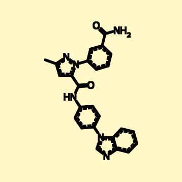 Cc1cc(C(=O)Nc2ccc(-n3cnc4ccccc43)cc2)n(-c2cccc(C(N)=O)c2)n1